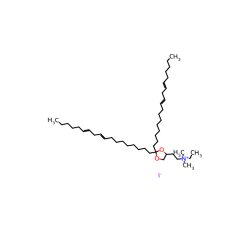 CCCCCC=CCC=CCCCCCCCCC1(CCCCCCCCC=CCC=CCCCCC)OCC(CC[N+](C)(C)CC)O1.[I-]